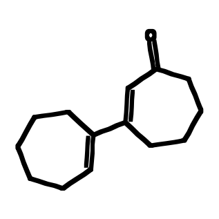 O=C1C=C(C2=CCCCCC2)CCCC1